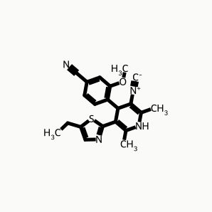 [C-]#[N+]C1=C(C)NC(C)=C(c2ncc(CC)s2)C1c1ccc(C#N)cc1OC